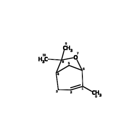 CC1=CCC2CC1OC2(C)C